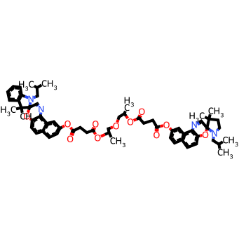 CC(C)CN1CCC(C)(C)C12C=Nc1c(ccc3ccc(OC(=O)CCC(=O)OC(C)COCC(C)OC(=O)CCC(=O)Oc4ccc5ccc6c(c5c4)N=CC4(O6)N(CC(C)C)c5ccccc5C4(C)C)cc13)O2